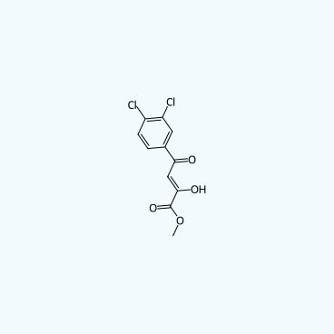 COC(=O)C(O)=CC(=O)c1ccc(Cl)c(Cl)c1